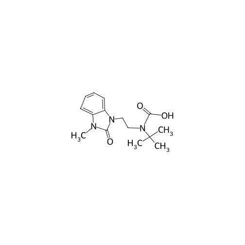 Cn1c(=O)n(CCN(C(=O)O)C(C)(C)C)c2ccccc21